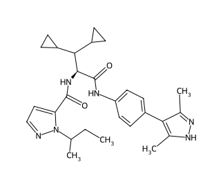 CCC(C)n1nccc1C(=O)N[C@H](C(=O)Nc1ccc(-c2c(C)n[nH]c2C)cc1)C(C1CC1)C1CC1